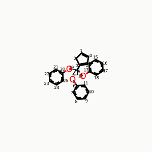 C1=CC[C]([Zr]([O]c2ccccc2)([O]c2ccccc2)[O]c2ccccc2)=C1